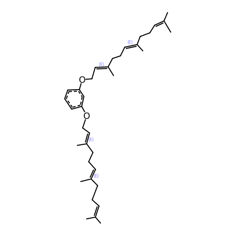 CC(C)=CCC/C(C)=C/CC/C(C)=C/COc1cccc(OC/C=C(\C)CC/C=C(\C)CCC=C(C)C)c1